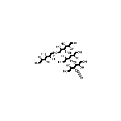 OC[C@@H](O)[C@@H](O)[C@H](O)[C@H](O)CO.OC[C@@H](O)[C@@H](O)[C@H](O)[C@H](O)CO.OC[C@@H](O)[C@@H](O)[C@H](O)[C@H](O)CO.OC[C@@H](O)[C@@H](O)[C@H](O)[C@H](O)CO.[Ar].[Ar].[Ar].[Ar]